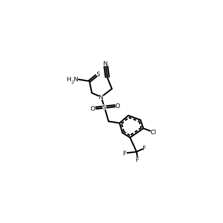 N#CCN(CC(N)=S)S(=O)(=O)Cc1ccc(Cl)c(C(F)(F)F)c1